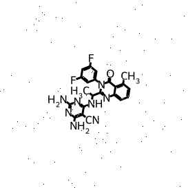 Cc1cccc2nc(C(C)Nc3nc(N)nc(N)c3C#N)n(-c3cc(F)cc(F)c3)c(=O)c12